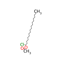 CCCCCCCCCCCCCCCCCCC(Cl)OC(C)=O